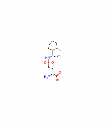 N[C@@H](CCS(=O)(=O)NC1CCCC2CCCCC21)C(=O)O